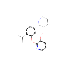 CC(C)c1ccccc1Oc1ncccc1OC[C@H]1CCCNC1